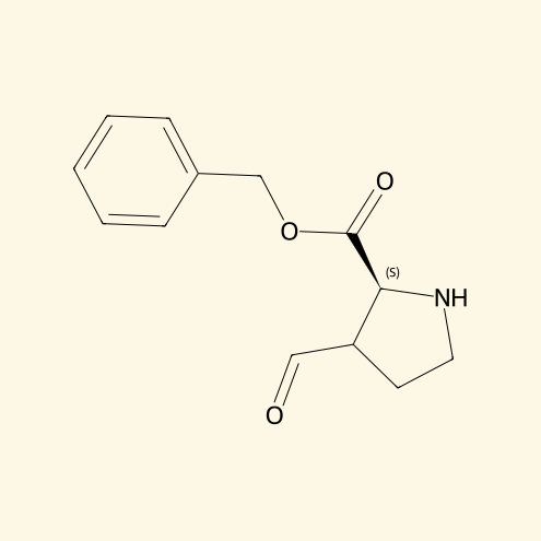 O=CC1CCN[C@@H]1C(=O)OCc1ccccc1